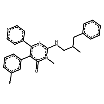 CC(CNc1nc(-c2ccncc2)c(-c2cccc(F)c2)c(=O)n1C)Cc1ccccc1